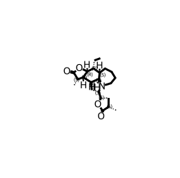 CC[C@@H]1[C@@H]2CCCCN3[C@@H]2[C@@H](C[C@H]3[C@@H]2C[C@H](C)C(=O)O2)[C@H]2[C@@H]1OC(=O)[C@H]2C